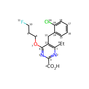 CCc1nc(C(=O)O)nc(OCCCF)c1Cc1ccccc1Cl